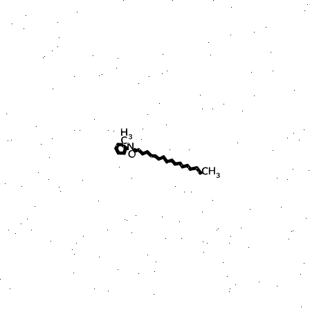 CCCCCCCCCCCCCCCCCC(=O)N=C1CCCCC1C